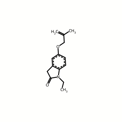 C=C(C)COc1ccc2c(c1)CC(=O)N2CC